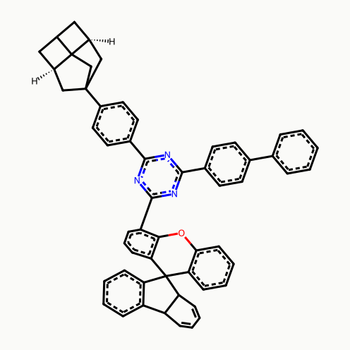 C1=CC2c3ccccc3C3(c4ccccc4Oc4c(-c5nc(-c6ccc(-c7ccccc7)cc6)nc(-c6ccc(C78C[C@H]9CC%10C[C@@H](C7)C%109C8)cc6)n5)cccc43)C2C=C1